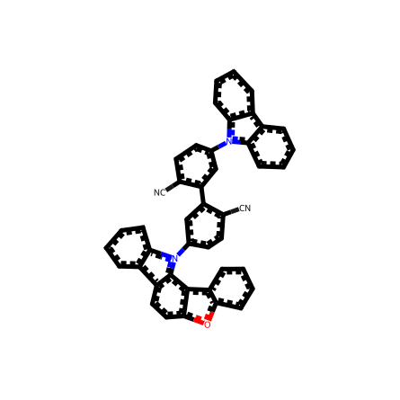 N#Cc1ccc(-n2c3ccccc3c3ccccc32)cc1-c1cc(-n2c3ccccc3c3ccc4oc5ccccc5c4c32)ccc1C#N